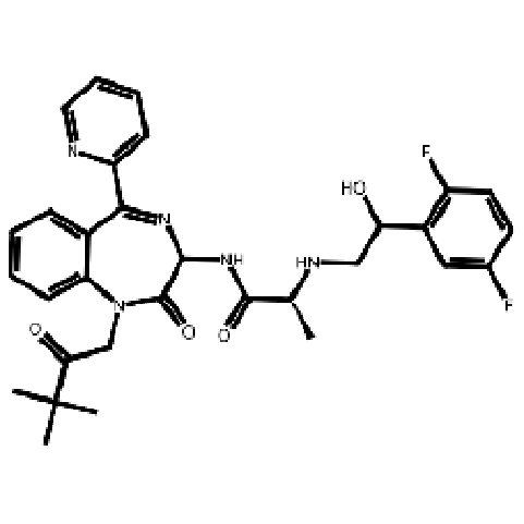 C[C@H](NCC(O)c1cc(F)ccc1F)C(=O)NC1N=C(c2ccccn2)c2ccccc2N(CC(=O)C(C)(C)C)C1=O